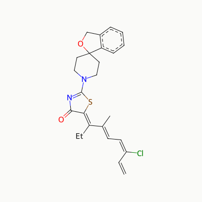 C=C\C(Cl)=C/C=C(C)/C(CC)=C1\SC(N2CCC3(CC2)OCc2ccccc23)=NC1=O